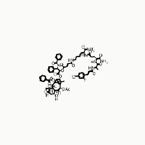 CC(=O)O[C@H]1C(=O)[C@@]2(C)[C@H]([C@H](OC(=O)c3ccccc3)[C@]3(O)C[C@H](OC(=O)[C@H](OC(=O)CCC(=O)NCCCCC(NC(=O)CC[C@H](NC(=O)C(C)NC(=O)/C=C/c4ccc(Cl)cc4F)C(N)=O)C(N)=O)[C@@H](NC(=O)c4ccccc4)c4ccccc4)C(C)=C1C3(C)C)[C@]1(OC(C)=O)CO[C@@H]1C[C@@H]2O